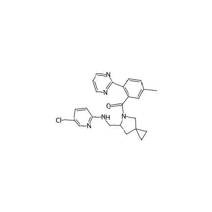 Cc1ccc(-c2ncccn2)c(C(=O)N2CC3(CC3)CC2CNc2ccc(Cl)cn2)c1